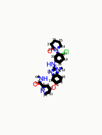 CNC(=O)c1cc(Oc2ccc3c(c2)nc(Nc2ccc(Cl)c(N4CCCCC4=O)c2)n3C)ccn1